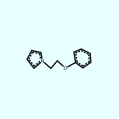 [c]1ccc(OCCn2cccc2)cc1